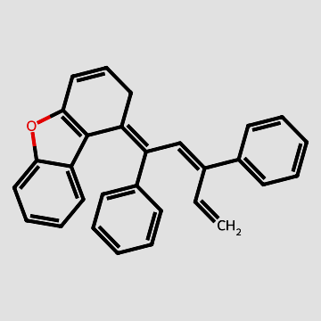 C=C/C(=C\C(=C1/CC=Cc2oc3ccccc3c21)c1ccccc1)c1ccccc1